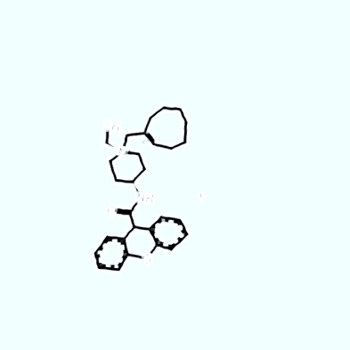 CC[N@+]1(C/C2=C/CCCCCC2)CC[C@H](NC(=O)C2c3ccccc3Oc3ccccc32)CC1.[I-]